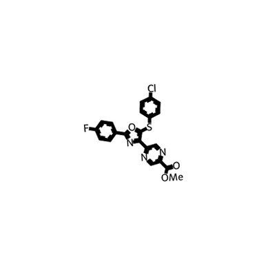 COC(=O)c1cnc(-c2nc(-c3ccc(F)cc3)oc2Sc2ccc(Cl)cc2)cn1